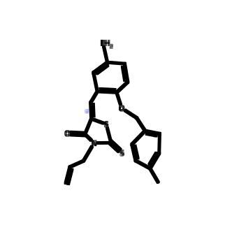 Bc1ccc(OCc2ccc(C)cc2)c(/C=C2\SC(=S)N(CC=C)C2=O)c1